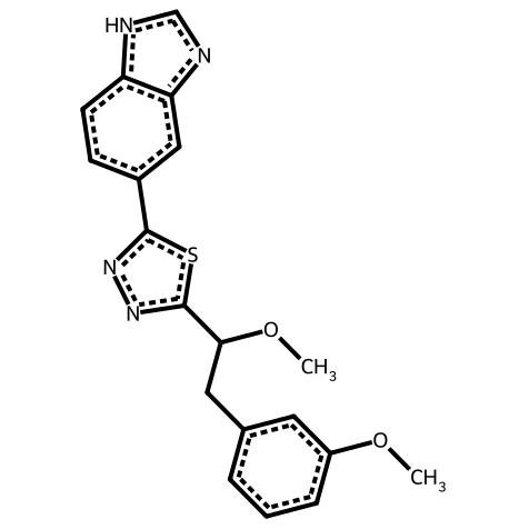 COc1cccc(CC(OC)c2nnc(-c3ccc4[nH]cnc4c3)s2)c1